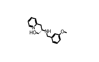 COc1cccc(CN[C@H](CO)Cc2ccccn2)c1